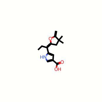 C=C1OC(=C(CC)c2cc(C(=O)O)c[nH]2)CC1(C)C